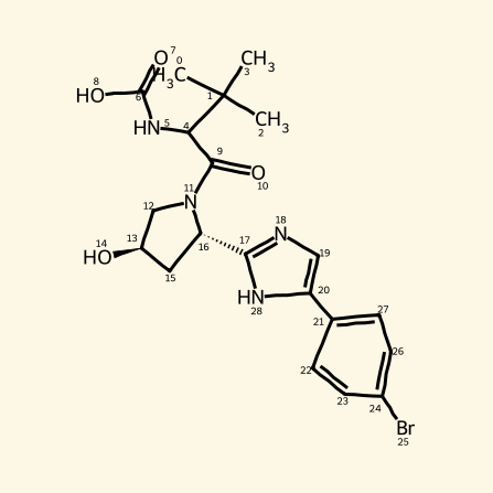 CC(C)(C)C(NC(=O)O)C(=O)N1C[C@H](O)C[C@H]1c1ncc(-c2ccc(Br)cc2)[nH]1